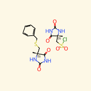 C[C@]1(CS(=O)(=O)Cl)NC(=O)NC1=O.C[C@]1(CSCc2ccccc2)NC(=O)NC1=O